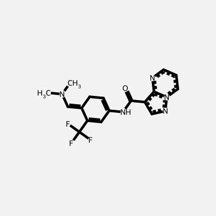 CN(C)C=C1CC=C(NC(=O)c2cnn3cccnc23)C=C1C(F)(F)F